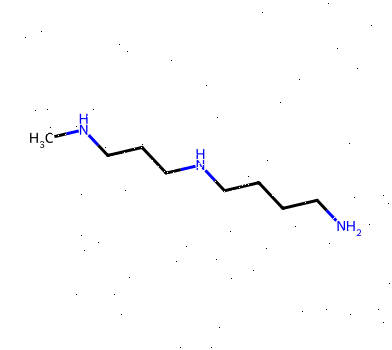 CNCCCNCCCCN